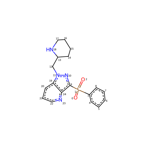 O=S(=O)(c1ccccc1)c1nn(CC2CCCCN2)c2cccnc12